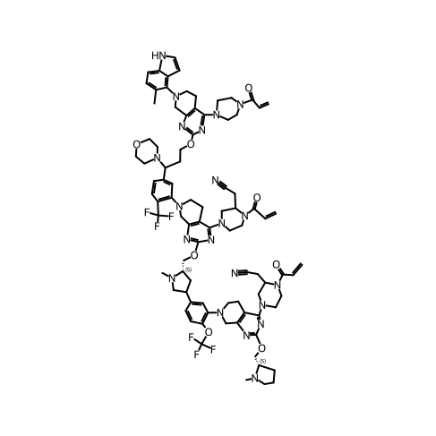 C=CC(=O)N1CCN(c2nc(OCCC(c3ccc(C(F)(F)F)c(N4CCc5c(nc(OC[C@@H]6CC(c7ccc(OC(F)(F)F)c(N8CCc9c(nc(OC[C@@H]%10CCCN%10C)nc9N9CCN(C(=O)C=C)C(CC#N)C9)C8)c7)CN6C)nc5N5CCN(C(=O)C=C)C(CC#N)C5)C4)c3)N3CCOCC3)nc3c2CCN(c2c(C)ccc4[nH]ccc24)C3)CC1